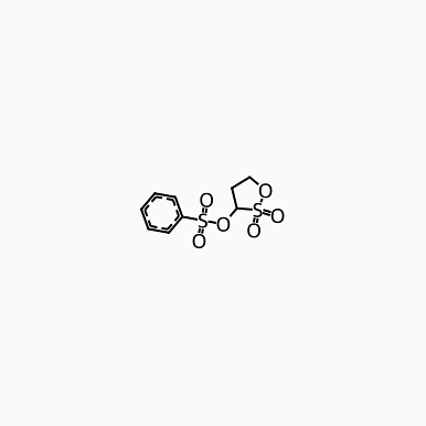 O=S(=O)(OC1CCOS1(=O)=O)c1ccccc1